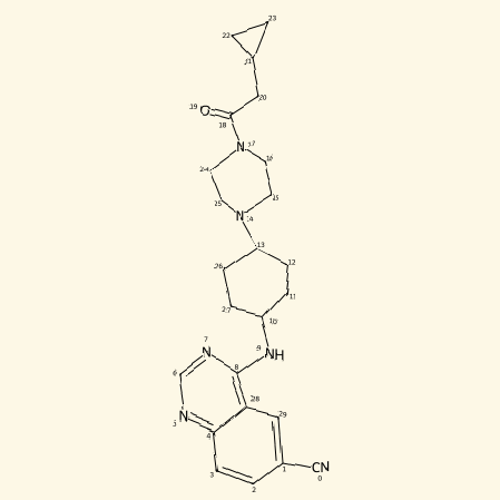 N#Cc1ccc2ncnc(NC3CCC(N4CCN(C(=O)CC5CC5)CC4)CC3)c2c1